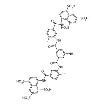 Cc1ccc(C(=O)Nc2ccc(S(=O)(=O)O)c3cc(S(=O)(=O)O)cc(S(=O)(=O)O)c23)cc1NC(=O)c1cc(N)cc(C(=O)Nc2cc(C(=O)Nc3ccc(S(=O)(=O)O)c4cc(S(=O)(=O)O)cc(S(=O)(=O)O)c34)ccc2C)c1